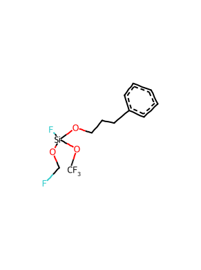 FCO[Si](F)(OCCCc1ccccc1)OC(F)(F)F